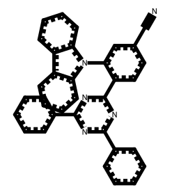 N#Cc1ccc(-c2nc(-c3ccccc3)nc(-c3ccccc3)n2)c(-n2c3ccccc3c3ccccc32)c1